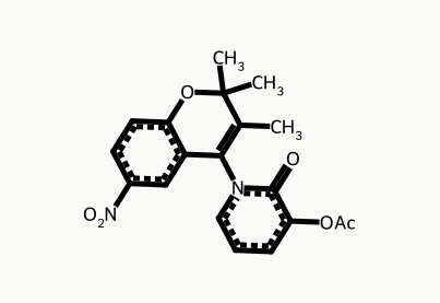 CC(=O)Oc1cccn(C2=C(C)C(C)(C)Oc3ccc([N+](=O)[O-])cc32)c1=O